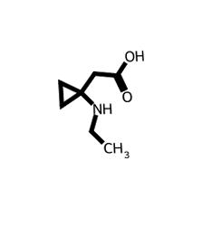 CCNC1(CC(=O)O)CC1